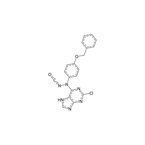 O=C=NN(c1ccc(OCc2ccccc2)cc1)c1nc(Cl)nc2nc[nH]c12